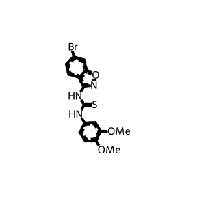 COc1ccc(NC(=S)Nc2noc3cc(Br)ccc23)cc1OC